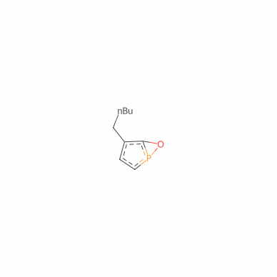 CCCCCc1ccp2c1O2